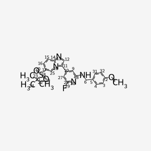 COc1ccc(CNc2cc(-c3cnc4ccc(S(=O)(=O)C(C)(C)C)cn34)cc(F)n2)cc1